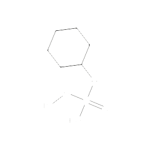 OP(=S)(OBr)OC1CCCCC1